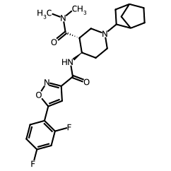 CN(C)C(=O)[C@@H]1CN(C2CC3CCC2C3)CC[C@H]1NC(=O)c1cc(-c2ccc(F)cc2F)on1